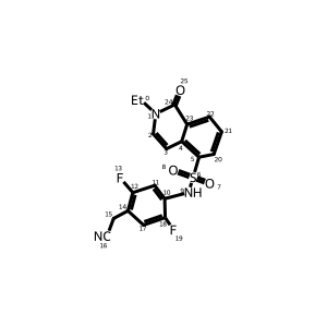 CCn1ccc2c(S(=O)(=O)Nc3cc(F)c(CC#N)cc3F)cccc2c1=O